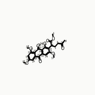 COC(=O)C(CCC(C)=O)c1c(OC)cc2c(c1O)C(=O)c1c(OC)cc(OC)cc1C2=O